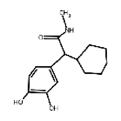 CNC(=O)C(c1ccc(O)c(O)c1)C1CCCCC1